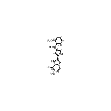 O=C(c1c[nH]c(-c2nc3cnc(Br)c(F)c3[nH]2)c1)c1ccccc1C(F)(F)F